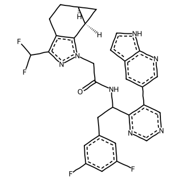 O=C(Cn1nc(C(F)F)c2c1[C@@H]1C[C@@H]1CC2)NC(Cc1cc(F)cc(F)c1)c1ncncc1-c1cnc2[nH]ccc2c1